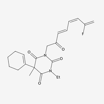 C=C(F)/C=C\C=C\C(=O)CN1C(=O)N(CC)C(=O)C(C)(C2=CCCCC2)C1=O